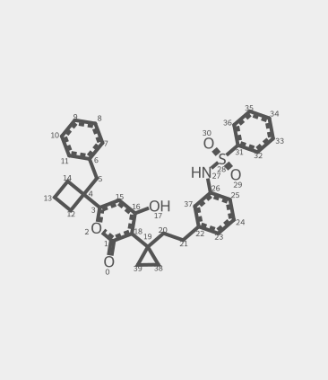 O=c1oc(C2(Cc3ccccc3)CCC2)cc(O)c1C1(CCc2cccc(NS(=O)(=O)c3ccccc3)c2)CC1